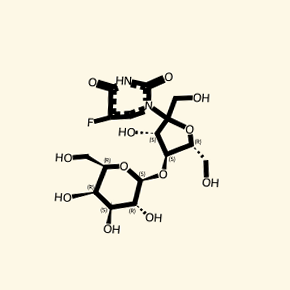 O=c1[nH]c(=O)n(C2(CO)O[C@H](CO)[C@@H](O[C@@H]3O[C@H](CO)[C@H](O)[C@H](O)[C@H]3O)[C@@H]2O)cc1F